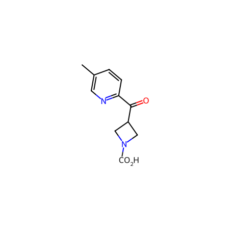 Cc1ccc(C(=O)C2CN(C(=O)O)C2)nc1